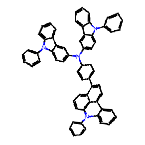 C1=CC(N(c2ccc3c(c2)c2ccccc2n3-c2ccccc2)c2ccc3c(c2)c2ccccc2n3-c2ccccc2)CC=C1c1ccc2c3c(cccc13)N(c1ccccc1)c1ccccc1-2